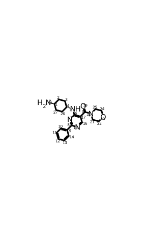 N[C@H]1CC[C@H](Nc2nc(-c3ccccc3)ncc2C(=O)N2CCOCC2)CC1